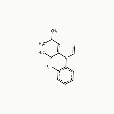 CS/C(=N\C(C)C)N(C=O)c1ccccc1C